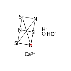 N12[Si]34N5[Si]16N3[Si]25N46.[Ca+2].[OH-].[OH-]